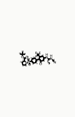 CSC(NC#N)Nc1cc(Cl)c(-c2ccc(S(=O)(=O)N3CCCC3C(=O)OC(C)(C)C)cc2)c(C(F)(F)F)c1